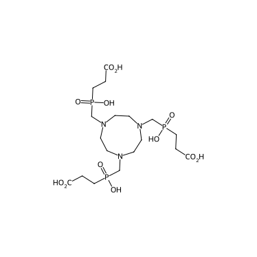 O=C(O)CCP(=O)(O)CN1CCN(CP(=O)(O)CCC(=O)O)CCN(CP(=O)(O)CCC(=O)O)CC1